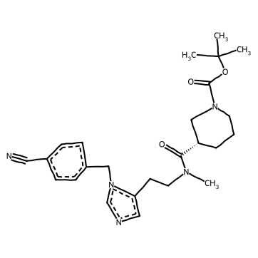 CN(CCc1cncn1Cc1ccc(C#N)cc1)C(=O)[C@H]1CCCN(C(=O)OC(C)(C)C)C1